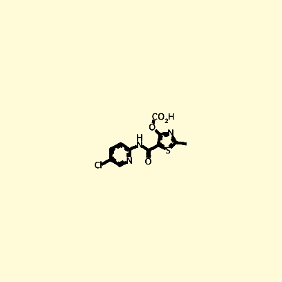 Cc1nc(OC(=O)O)c(C(=O)Nc2ccc(Cl)cn2)s1